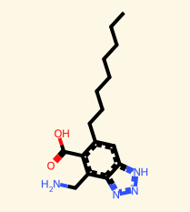 CCCCCCCCc1cc2[nH]nnc2c(CN)c1C(=O)O